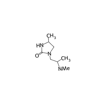 CNC(C)CN1CC(C)NC1=O